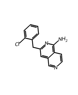 Nc1nc(Cc2ccccc2Cl)cc2cnccc12